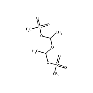 CC(OC(C)OS(=O)(=O)C(F)(F)F)OS(=O)(=O)C(F)(F)F